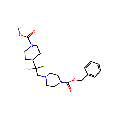 CC(C)(C)OC(=O)N1CCC(C(F)(F)CN2CCN(C(=O)OCc3ccccc3)CC2)CC1